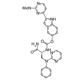 CNc1nccc(-c2cc3cc(OC(=O)N[C@@H](CN(c4ccccc4)c4ncccn4)C(N)=O)ccc3[nH]2)n1